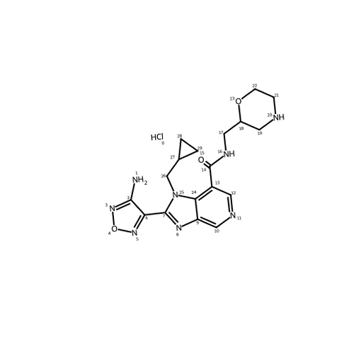 Cl.Nc1nonc1-c1nc2cncc(C(=O)NCC3CNCCO3)c2n1CC1CC1